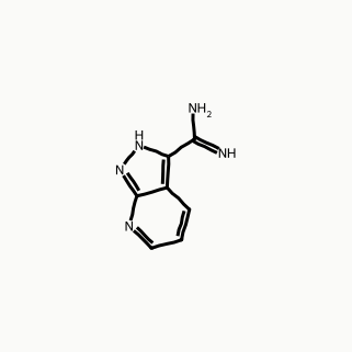 N=C(N)c1[nH]nc2ncccc12